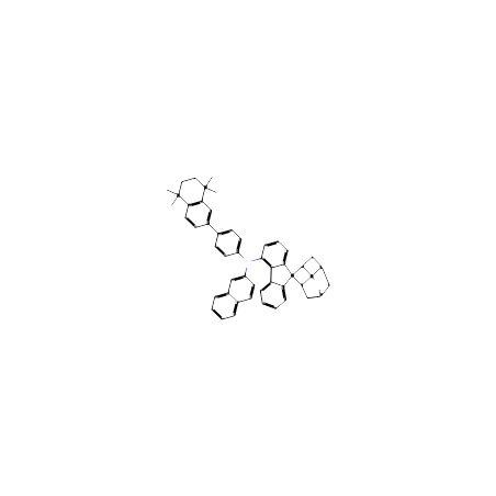 CC1(C)CCC(C)(C)c2cc(-c3ccc(N(c4ccc5ccccc5c4)c4cccc5c4-c4ccccc4C54C5CC6CC7CC4C75C6)cc3)ccc21